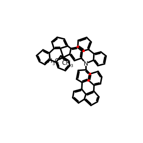 CC1(C)c2cc(N(c3ccc(-c4cccc5cccc(-c6ccccc6)c45)cc3)c3ccccc3-c3ccccc3)ccc2-c2cccc(-c3ccccc3-c3ccccc3)c21